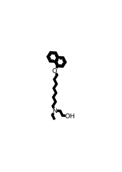 CCN(CCO)CCCCCCCCOc1cccc2ccccc12